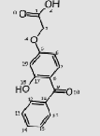 O=C(O)COc1ccc(C(=O)c2ccccc2)c(O)c1